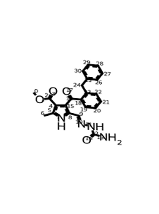 COC(=O)c1c(C)[nH]c(C=NNC(N)=O)c1C(=O)c1ccccc1Cc1ccccc1